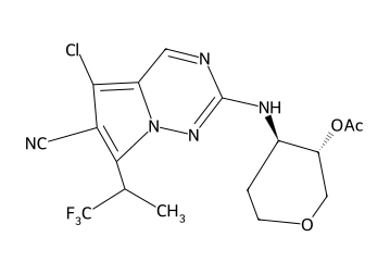 CC(=O)O[C@@H]1COCC[C@H]1Nc1ncc2c(Cl)c(C#N)c(C(C)C(F)(F)F)n2n1